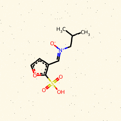 CC(C)C[N+]([O-])=Cc1ccoc1S(=O)(=O)O